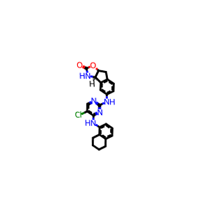 O=C1N[C@@H]2c3cc(Nc4ncc(Cl)c(Nc5cccc6c5CCCC6)n4)ccc3CC2O1